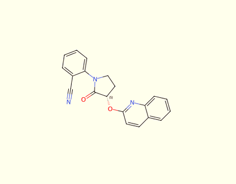 N#Cc1ccccc1N1CC[C@H](Oc2ccc3ccccc3n2)C1=O